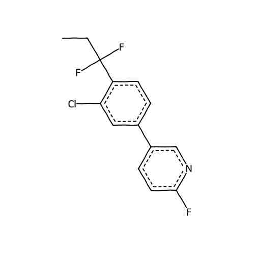 CCC(F)(F)c1ccc(-c2ccc(F)nc2)cc1Cl